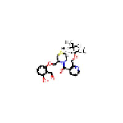 CC(C)(C)[Si](C)(C)OCc1ncccc1C(=O)N1CCSCC1COc1cccc(O)c1C=O